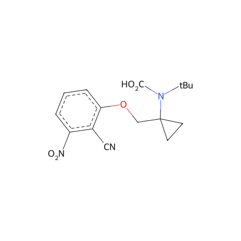 CC(C)(C)N(C(=O)O)C1(COc2cccc([N+](=O)[O-])c2C#N)CC1